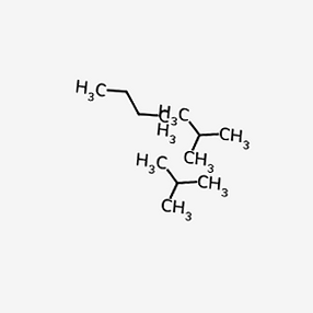 CC(C)C.CC(C)C.CCCC